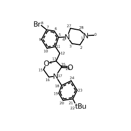 CN1CCN(c2cc(Br)ccc2CC2OCCN(c3ccc(C(C)(C)C)cc3)C2=O)CC1